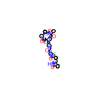 N#CC1(C(=O)N2CCCC(c3cccc(C(=O)N[C@@H](C(=O)N4CCN(CC5CCN(CC(=O)N6CCN(C(=O)c7cc(Cc8n[nH]c(=O)c9ccccc89)ccc7F)CC6)CC5)CC4)C4CCCCC4)c3)C2)CC1